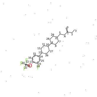 C=C(CC)CCC1CCC(C2CCC(c3ccc(OC(F)(F)F)c(F)c3)CC2)CC1